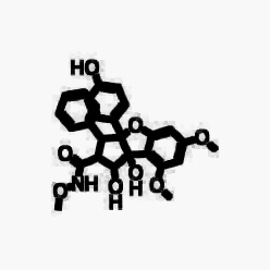 CONC(=O)C1C(O)C2(O)c3c(OC)cc(OC)cc3OC2(c2ccc(O)cc2)C1c1ccccc1